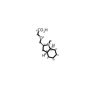 CN1[C@H](COCC(=O)O)C[C@@H]2CCCC[C@@H]21